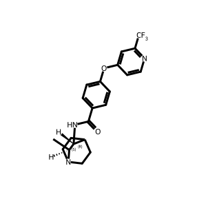 C[C@H]1[C@H](NC(=O)c2ccc(Oc3ccnc(C(F)(F)F)c3)cc2)C2CCN1CC2